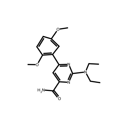 CCN(CC)c1nc(C(N)=O)cc(-c2cc(OC)ccc2OC)n1